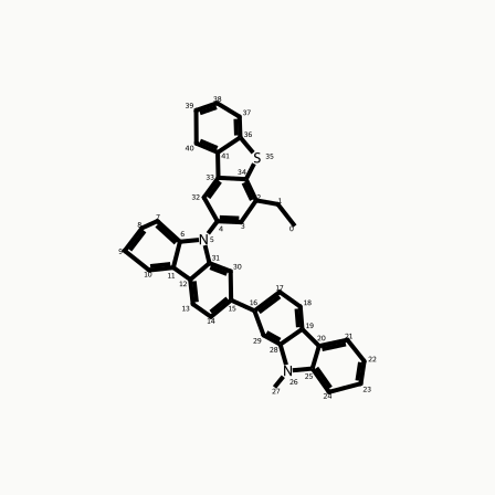 CCc1cc(-n2c3ccccc3c3ccc(-c4ccc5c6ccccc6n(C)c5c4)cc32)cc2c1sc1ccccc12